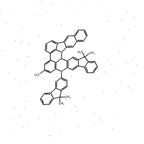 Cc1cc2c3c(c1)N(c1ccc4c(c1)-c1ccccc1C4(C)C)c1cc4c(cc1B3n1c3cc5ccccc5cc3c3cccc-2c31)C(C)(C)c1ccccc1-4